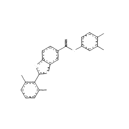 Cc1cc(NC(=O)c2ccc3nc(-c4c(Cl)cccc4Cl)[nH]c3c2)ccc1F